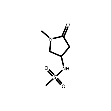 CN1CC(NS(C)(=O)=O)CC1=O